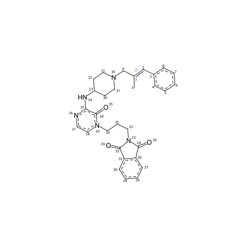 C/C(=C\c1ccccc1)CN1CCC(Nc2nccn(CCCN3C(=O)c4ccccc4C3=O)c2=O)CC1